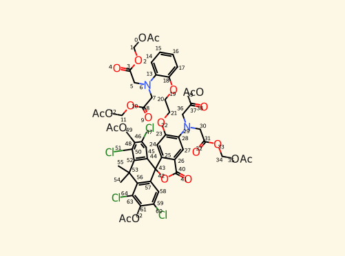 CC(=O)OCOC(=O)CN(CC(=O)OCOC(C)=O)c1ccccc1OCCOc1cc2c(cc1N(CC(=O)OCOC(C)=O)CC(=O)OC(C)=O)C(=O)OC21c2cc(Cl)c(OC(C)=O)c(Cl)c2C(C)(C)c2c1cc(Cl)c(OC(C)=O)c2Cl